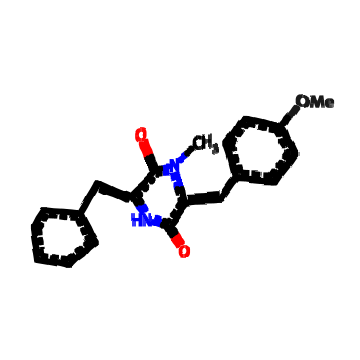 COc1ccc(/C=c2/c(=O)[nH]/c(=C\c3ccccc3)c(=O)n2C)cc1